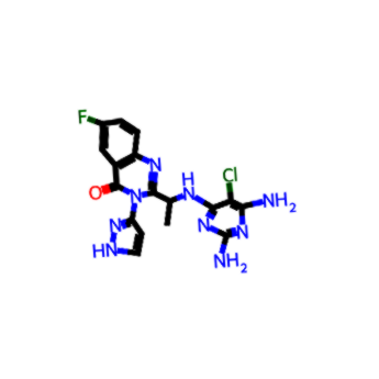 CC(Nc1nc(N)nc(N)c1Cl)c1nc2ccc(F)cc2c(=O)n1-c1cc[nH]n1